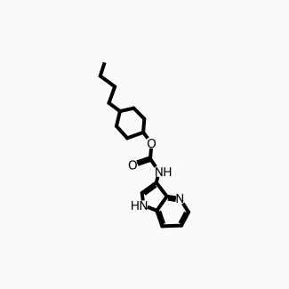 CCCCC1CCC(OC(=O)Nc2c[nH]c3cccnc23)CC1